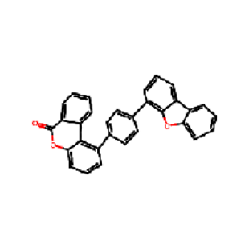 O=c1oc2cccc(-c3ccc(-c4cccc5c4oc4ccccc45)cc3)c2c2ccccc12